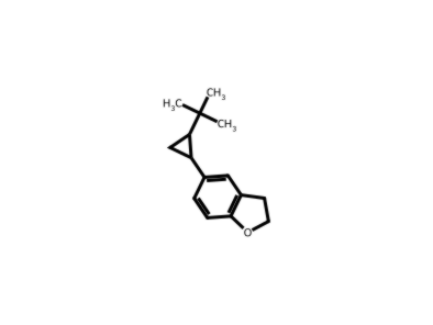 CC(C)(C)C1CC1c1ccc2c(c1)CCO2